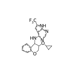 FC(F)(F)c1cc2c(NC3c4ccccc4OCC3OC3CC3)ncnc2[nH]1